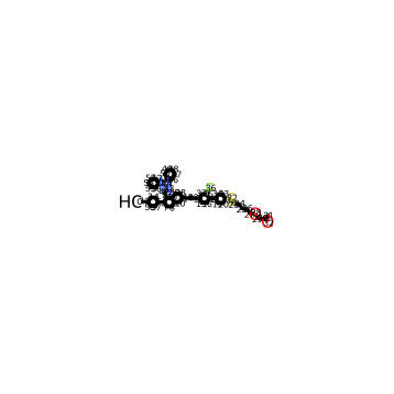 C#Cc1ccc(-c2ccc3cc(C#Cc4ccc(-c5ccc(SCCCCCOCC6CO6)cc5)c(F)c4)ccc3c2/C=N/N(c2ccccc2)c2ccccc2)cc1